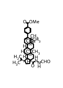 C=C(C)[C@@H]1CC[C@]2(C(=O)NNC=O)CC[C@]3(C)[C@H](CC[C@@H]4[C@@]5(C)CC=C(c6ccc(C(=O)OC)cc6)C(C)(C)[C@@H]5CC[C@]43C)[C@@H]12